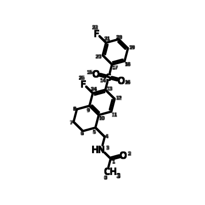 CC(=O)NCC1CCCc2c1ccc(S(=O)(=O)c1cccc(F)c1)c2F